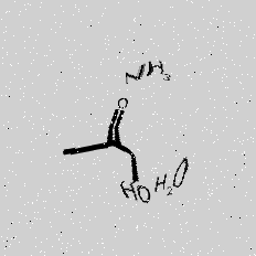 CC(=O)O.N.O